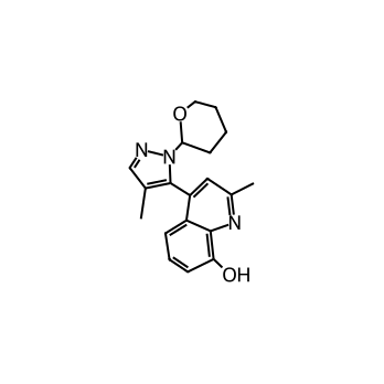 Cc1cc(-c2c(C)cnn2C2CCCCO2)c2cccc(O)c2n1